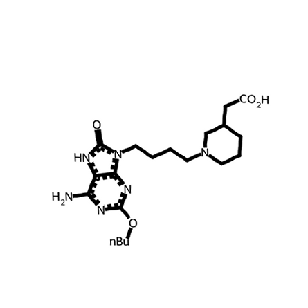 CCCCOc1nc(N)c2[nH]c(=O)n(CCCCN3CCCC(CC(=O)O)C3)c2n1